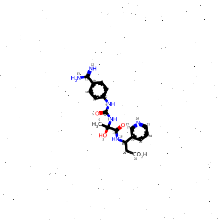 CC(O)(NC(=O)Nc1ccc(C(=N)N)cc1)C(=O)NC(CC(=O)O)c1cccnc1